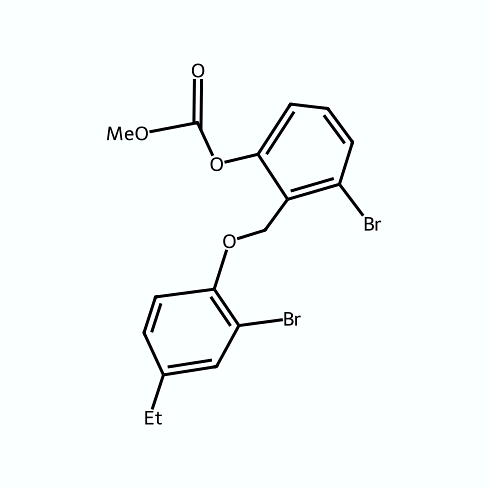 CCc1ccc(OCc2c(Br)cccc2OC(=O)OC)c(Br)c1